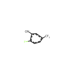 O=Nc1cc(C(F)(F)F)ccc1F